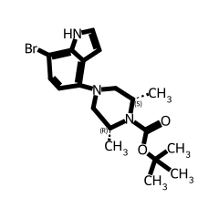 C[C@@H]1CN(c2ccc(Br)c3[nH]ccc23)C[C@H](C)N1C(=O)OC(C)(C)C